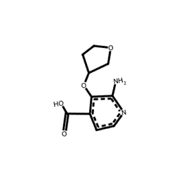 Nc1nccc(C(=O)O)c1OC1CCOC1